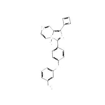 N#Cc1cccc(Oc2ccc(C3=NC(C4=CC=C4)=C4C=NC=C[N+]34N)cc2)c1